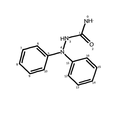 [NH]C(=O)NN(c1ccccc1)c1ccccc1